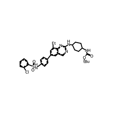 CCc1cc(-c2ccc(NS(=O)(=O)c3ccccc3Cl)cc2)cc2cnc(NC3CCC(NC(=O)OC(C)(C)C)CC3)nc12